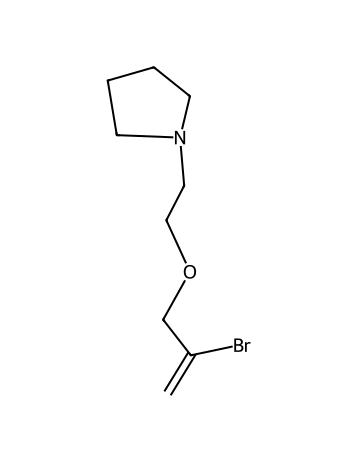 C=C(Br)COCCN1CCCC1